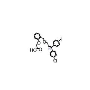 O=C(O)COc1ccccc1COC/C=C(/c1ccc(Cl)cc1)c1ccc(I)cc1